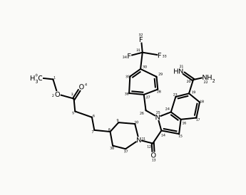 CCOC(=O)CCCC1CCN(C(=O)c2cc3ccc(C(=N)N)cc3n2Cc2ccc(C(F)(F)F)cc2)CC1